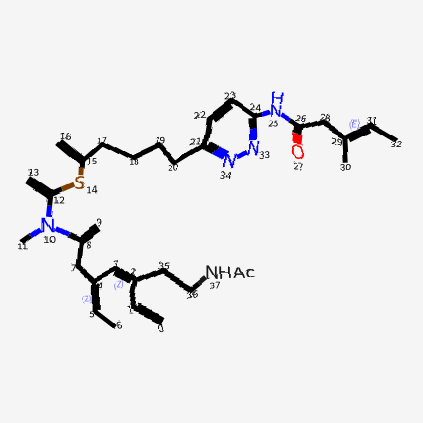 C=C/C(=C\C(=C/C)CC(=C)N(C)C(=C)SC(=C)CCCCc1ccc(NC(=O)C/C(C)=C/C)nn1)CCNC(C)=O